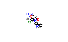 CCn1c2ccccc2c2cc(N(C(=O)C(C)CCC(N)=O)c3ccc(C#N)c(Cl)c3)ccc21